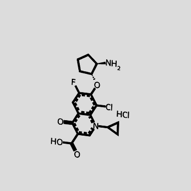 Cl.N[C@@H]1CCC[C@H]1Oc1c(F)cc2c(=O)c(C(=O)O)cn(C3CC3)c2c1Cl